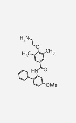 COc1ccc(-c2ccccc2)c(NC(=O)c2cc(C)c(OCCN)c(C)c2)c1